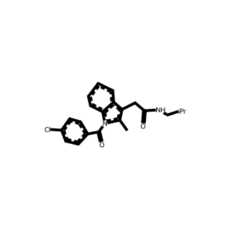 Cc1c(CC(=O)NCC(C)C)c2ccccc2n1C(=O)c1ccc(Cl)cc1